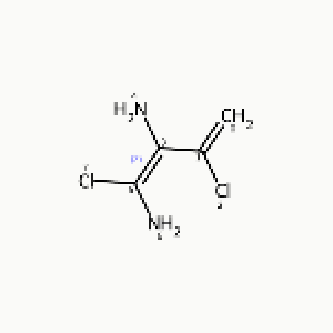 C=C(Cl)/C(N)=C(\N)Cl